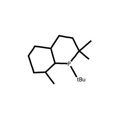 CC1CCCC2CCC(C)(C)P(C(C)(C)C)C12